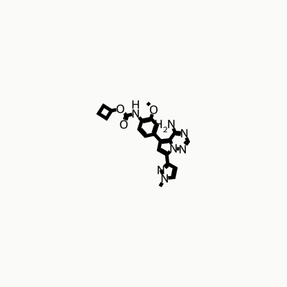 COc1cc(-c2cc(-c3ccn(C)n3)n3ncnc(N)c23)ccc1NC(=O)OC1CCC1